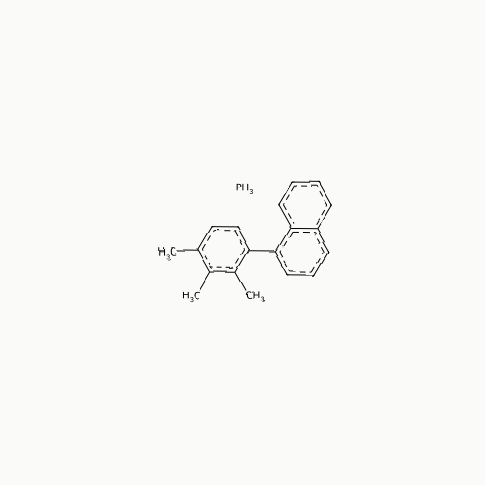 Cc1ccc(-c2cccc3ccccc23)c(C)c1C.P